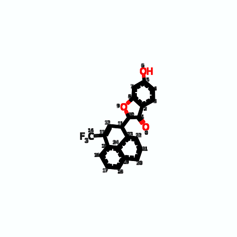 O=C1c2ccc(O)cc2OC1C1C=C(C(F)(F)F)c2cccc3cccc1c23